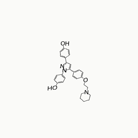 Oc1ccc(-c2cc(-c3ccc(OCCN4CCCCC4)cc3)n(-c3ccc(O)cc3)n2)cc1